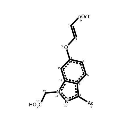 CCCCCCCCC=COc1ccc2c(C(C)=O)nn(CC(=O)O)c2c1